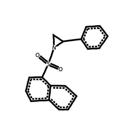 O=S(=O)(c1cccc2ccccc12)N1CC1c1ccccc1